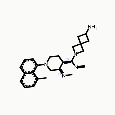 C=N/C(=C1/CCN(c2cccc3cccc(C)c23)C/C1=N/C)N1CC2(CC(N)C2)C1